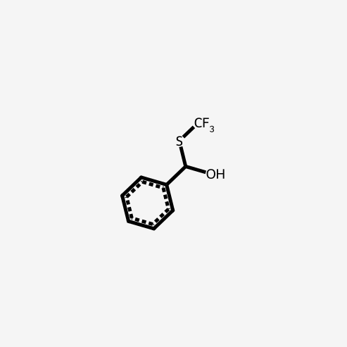 OC(SC(F)(F)F)c1ccccc1